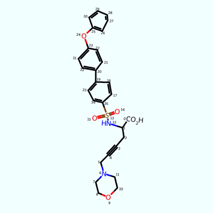 O=C(O)C(CC#CCN1CCOCC1)NS(=O)(=O)c1ccc(-c2ccc(Oc3ccccc3)cc2)cc1